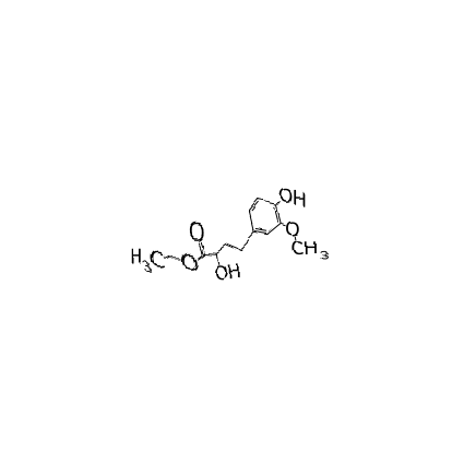 CCOC(=O)C(O)CCc1ccc(O)c(OC)c1